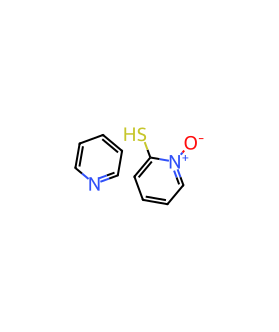 [O-][n+]1ccccc1S.c1ccncc1